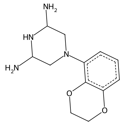 NC1CN(c2cccc3c2OCCO3)CC(N)N1